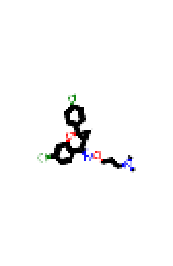 CN(C)CCCON=C1c2ccc(Cl)cc2OC2(c3ccc(Cl)cc3)CC12